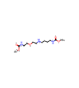 CC(C)(C)OC(=O)NCCCCNCCOCCNC(=O)OC(C)(C)C